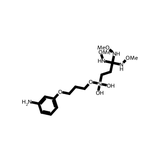 CONC(CC[Si](O)(O)OCCCOc1cccc(N)c1)(NOC)NOC